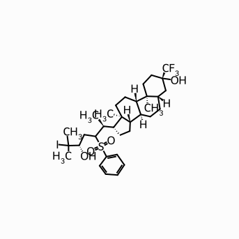 C[C@H](C(C[C@H](O)C(C)(C)I)S(=O)(=O)c1ccccc1)[C@H]1CC[C@H]2[C@@H]3CC[C@H]4C[C@](O)(C(F)(F)F)CC[C@]4(C)[C@H]3CC[C@]12C